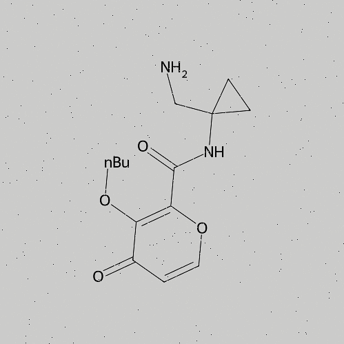 CCCCOc1c(C(=O)NC2(CN)CC2)occc1=O